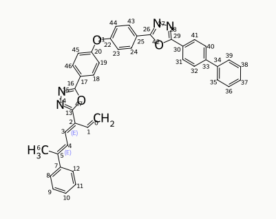 C=C/C(=C\C=C(/C)c1ccccc1)c1nnc(-c2ccc(Oc3ccc(-c4nnc(-c5ccc(-c6ccccc6)cc5)o4)cc3)cc2)o1